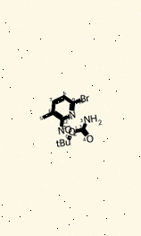 CC(C)(C)OC(N)=O.Cc1ccc(Br)nc1[N+](=O)[O-]